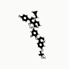 CC(C)(O)COc1ccc2c(Oc3ccc(Nc4nccc5c4c(=O)c(-c4ccc(F)cc4)cn5CC4CC4)cc3F)ccnc2c1